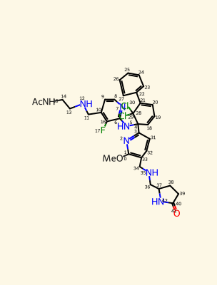 COc1nc(C2(Nc3nccc(CNCCNC(C)=O)c3F)C=CC=C(c3ccccc3)C2(Cl)Cl)ccc1CNCC1CCC(=O)N1